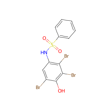 O=S(=O)(Nc1cc(Br)c(O)c(Br)c1Br)c1ccccc1